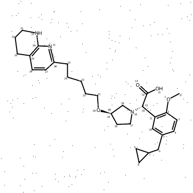 COc1ccc(CC2CC2)cc1[C@@H](C(=O)O)N1CC[C@@H](OCCCCCc2ccc3c(n2)NCCC3)C1